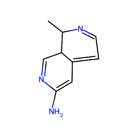 CC1N=CC=C2C=C(N)N=CC21